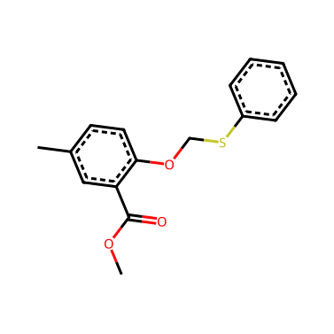 COC(=O)c1cc(C)ccc1OCSc1ccccc1